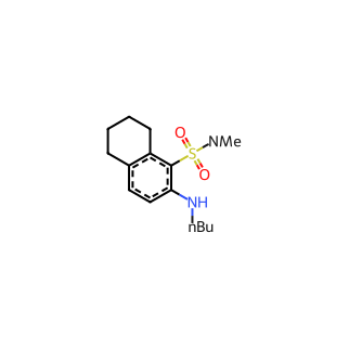 CCCCNc1ccc2c(c1S(=O)(=O)NC)CCCC2